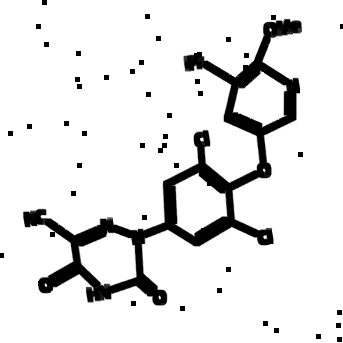 COc1ncc(Oc2c(Cl)cc(-n3nc(C#N)c(=O)[nH]c3=O)cc2Cl)cc1C(C)C